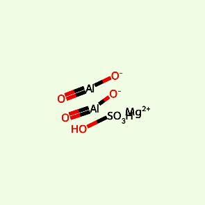 O=S(=O)(O)O.[Mg+2].[O]=[Al][O-].[O]=[Al][O-]